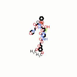 COc1cc(OC)c2oc(COC(=O)Nc3ccn([C@@H]4OC(COP(=O)(N[C@@H](C)C(=O)OCCN5CCOCC5)Oc5ccccc5)[C@@H](O)C4(F)F)c(=O)n3)cc2c1